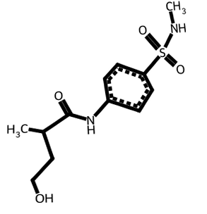 CNS(=O)(=O)c1ccc(NC(=O)C(C)CCO)cc1